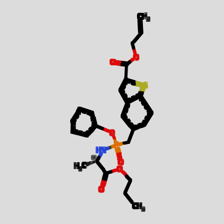 C=CCOC(=O)c1cc2cc(CP(=O)(N[C@@H](C)C(=O)OCCC)Oc3ccccc3)ccc2s1